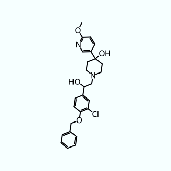 COc1ccc(C2(O)CCN(CC(O)c3ccc(OCc4ccccc4)c(Cl)c3)CC2)cn1